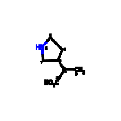 CC(C(=O)O)[C@H]1CCNC1